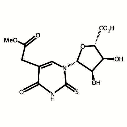 COC(=O)Cc1cn([C@@H]2O[C@H](C(=O)O)[C@@H](O)[C@H]2O)c(=S)[nH]c1=O